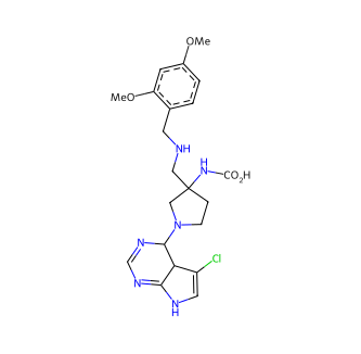 COc1ccc(CNCC2(NC(=O)O)CCN(C3N=CN=C4NC=C(Cl)C43)C2)c(OC)c1